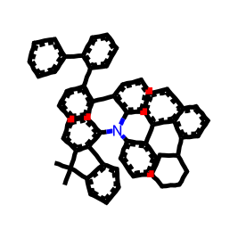 CC1(C)c2ccccc2-c2c(N(c3ccccc3-c3ccccc3-c3ccccc3-c3ccccc3)c3ccccc3-c3cccc4cccc(C5CCCCC5)c34)cccc21